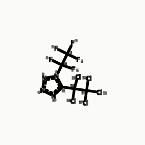 FC(F)(F)C(F)(F)n1nnnc1C(Cl)(Cl)C(Cl)(Cl)Cl